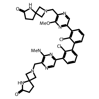 CNc1nc(-c2cccc(-c3cccc(-c4cnc(CN5CC6(CCC(=O)N6)C5)c(OC)n4)c3Cl)c2Cl)cnc1CN1CC2(CCC(=O)N2)C1